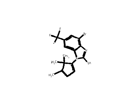 CC1CC=C(n2c(S)nc3c(Br)cc(C(F)(F)F)cc32)C1(C)C